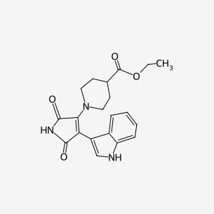 CCOC(=O)C1CCN(C2=C(c3c[nH]c4ccccc34)C(=O)NC2=O)CC1